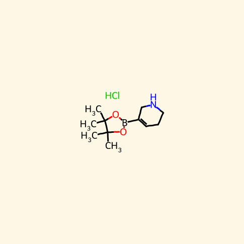 CC1(C)OB(C2=CCCNC2)OC1(C)C.Cl